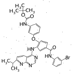 CC(C)c1ccc2c(Nc3cc(C(=O)Nc4cccc(Br)c4)ccc3Oc3cccc(NC(=O)OC(C)(C)C)c3)ncnc2n1